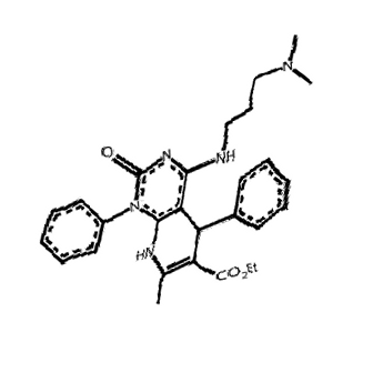 CCOC(=O)C1=C(C)Nc2c(c(NCCCN(C)C)nc(=O)n2-c2ccccc2)C1c1ccccc1